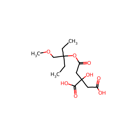 CCC(CC)(COC)OC(=O)CC(O)(CC(=O)O)C(=O)O